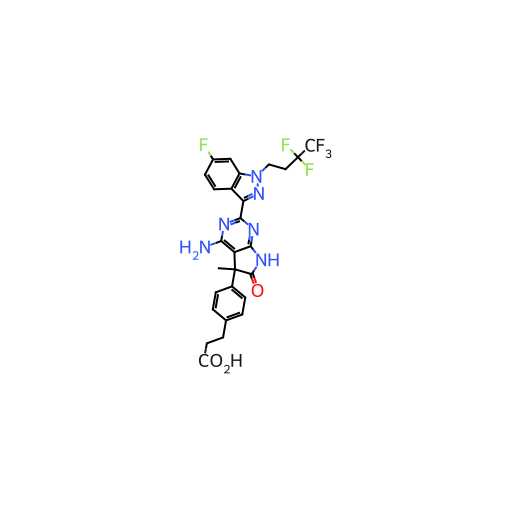 CC1(c2ccc(CCC(=O)O)cc2)C(=O)Nc2nc(-c3nn(CCC(F)(F)C(F)(F)F)c4cc(F)ccc34)nc(N)c21